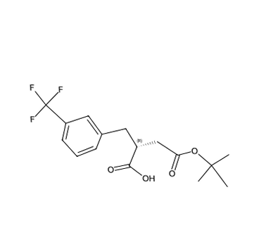 CC(C)(C)OC(=O)C[C@@H](Cc1cccc(C(F)(F)F)c1)C(=O)O